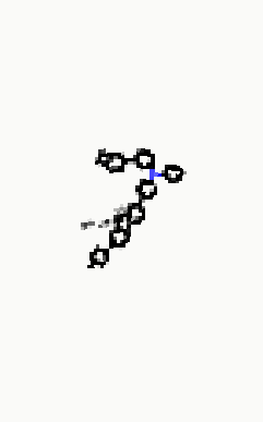 CCCCCCC1(CCCCCC)c2cc(-c3ccc(C)cc3)ccc2-c2ccc(-c3ccc(N(c4ccccc4)c4cccc(-c5ccc6c(c5)CC6)c4)cc3)cc21